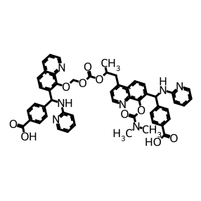 CC(Cc1ccnc2c(OC(=O)N(C)C)c(C(Nc3ccccn3)c3ccc(C(=O)O)cc3)ccc12)OC(=O)OCOc1c(C(Nc2ccccn2)c2ccc(C(=O)O)cc2)ccc2cccnc12